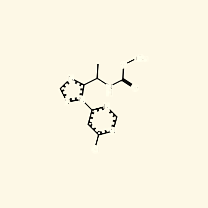 CC(NC(=O)OC(C)(C)C)c1ncnn1-c1cc(Cl)ncn1